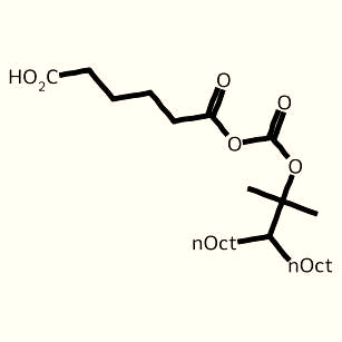 CCCCCCCCC(CCCCCCCC)C(C)(C)OC(=O)OC(=O)CCCCC(=O)O